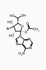 CC(=O)O[C@@]1(n2cnc3c(N)ncnc32)O[C@H](C(O)O)[C@](O)(Br)[C@H]1O